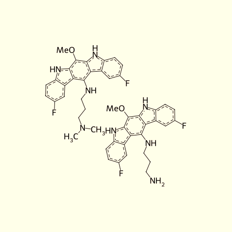 COc1c2[nH]c3ccc(F)cc3c2c(NCCCN(C)C)c2c1[nH]c1ccc(F)cc12.COc1c2[nH]c3ccc(F)cc3c2c(NCCCN)c2c1[nH]c1ccc(F)cc12